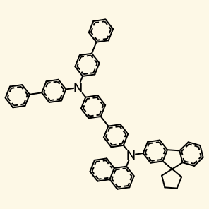 c1ccc(-c2ccc(N(c3ccc(-c4ccccc4)cc3)c3ccc(-c4ccc(N(c5ccc6c(c5)C5(CCCC5)c5ccccc5-6)c5cccc6ccccc56)cc4)cc3)cc2)cc1